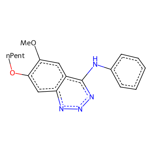 CCCCCOc1cc2nnnc(Nc3ccccc3)c2cc1OC